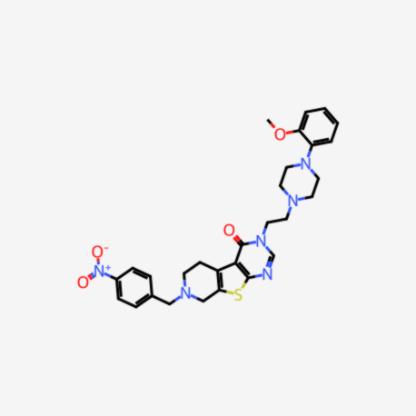 COc1ccccc1N1CCN(CCn2cnc3sc4c(c3c2=O)CCN(Cc2ccc([N+](=O)[O-])cc2)C4)CC1